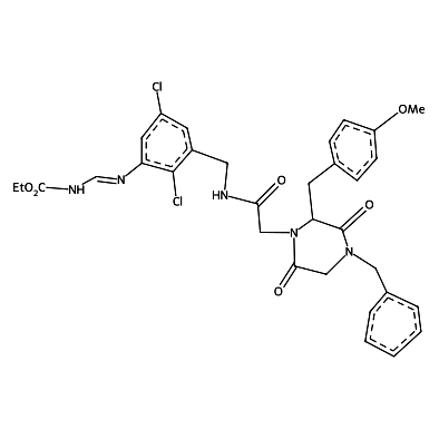 CCOC(=O)NC=Nc1cc(Cl)cc(CNC(=O)CN2C(=O)CN(Cc3ccccc3)C(=O)C2Cc2ccc(OC)cc2)c1Cl